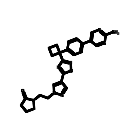 Nc1ncc(-c2ccc(C3(c4noc(-c5cnn(CCN6CCCC6=O)c5)n4)CCC3)cc2)cn1